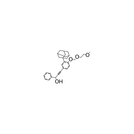 COCCOCOc1ccc(C#CC(O)c2ccccc2)cc1C12CC3CC(CC(C3)C1)C2